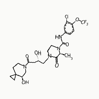 C[C@H]1C(=O)N(C[C@@H](O)CC(=O)N2CCC3(CC3)[C@H](O)C2)CCN1C(=O)Nc1ccc(OC(F)(F)F)c(Cl)c1